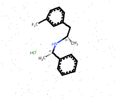 C[C@H](N[C@@H](C)Cc1cccc(C(F)(F)F)c1)c1ccccc1.Cl